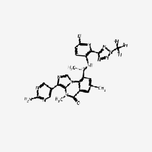 [2H]C([2H])([2H])n1nnc(-c2nc(Cl)ccc2N[C@@H](C)c2cc(C)cc3c(=O)n(C)c4c(-c5cnc(N)nc5)ncn4c23)n1